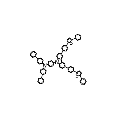 c1ccc(-c2ccc(N(c3ccc(-c4ccccc4)cc3)c3ccc(-n4c5ccc(-c6ccc(-c7ccc(-c8ccccc8)s7)cc6)cc5c5cc(-c6ccc(-c7ccc(-c8ccccc8)s7)cc6)ccc54)cc3)cc2)cc1